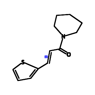 O=C(/C=C/c1cccs1)N1CCCCC1